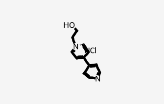 Cl.OCC[n+]1ccc(-c2ccncc2)cc1